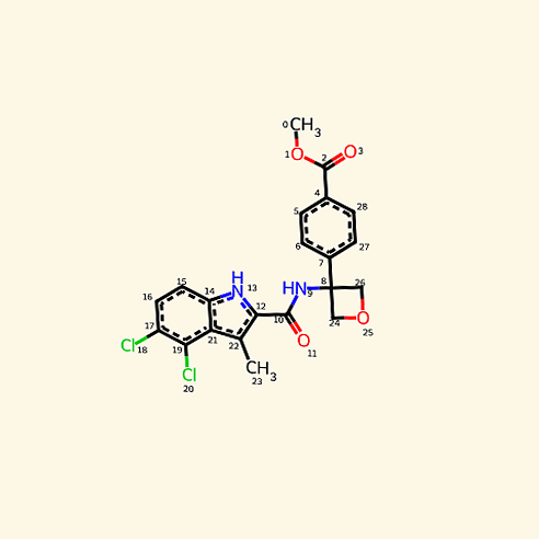 COC(=O)c1ccc(C2(NC(=O)c3[nH]c4ccc(Cl)c(Cl)c4c3C)COC2)cc1